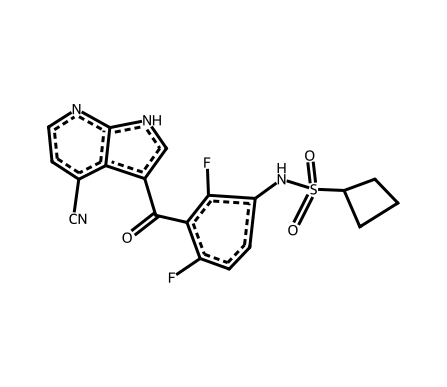 N#Cc1ccnc2[nH]cc(C(=O)c3c(F)ccc(NS(=O)(=O)C4CCC4)c3F)c12